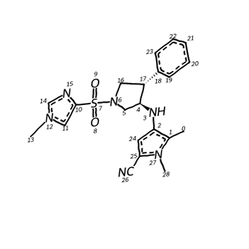 Cc1c(N[C@H]2CN(S(=O)(=O)c3cn(C)cn3)C[C@@H]2c2ccccc2)cc(C#N)n1C